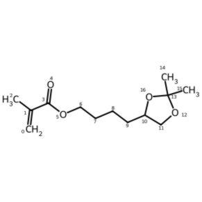 C=C(C)C(=O)OCCCCC1COC(C)(C)O1